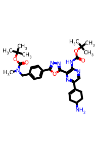 CN(Cc1ccc(-c2nnc(-c3nc(C4=CCC(N)CC4)cnc3NC(=O)OC(C)(C)C)o2)cc1)C(=O)OC(C)(C)C